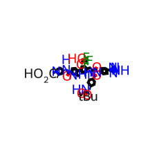 Cc1nc(C(=O)N[C@@H]2CCN(C(=O)O)[C@H](C)C2)ccc1-c1ccc(C[C@H](NC(=O)[C@H]2CC[C@H](CNC(=O)OC(C)(C)C)CC2)C(=O)Nc2ccc(-c3nn[nH]n3)cc2)cc1.O=C(O)C(F)(F)F